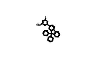 CC(C)(C)c1cc(F)cc(-c2ccc3c(c2)C(c2ccccc2)(c2ccccc2)c2ccccc2-3)c1